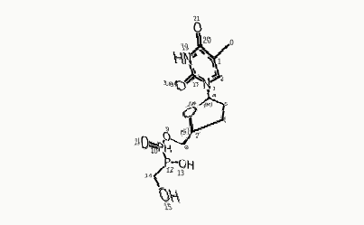 Cc1cn([C@H]2CC[C@@H](CO[PH](=O)P(O)CO)O2)c(=O)[nH]c1=O